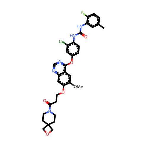 COc1cc2c(Oc3ccc(NC(=O)Nc4cc(C)ccc4F)c(Cl)c3)ncnc2cc1OCCC(=O)N1CCC2(CC1)COC2